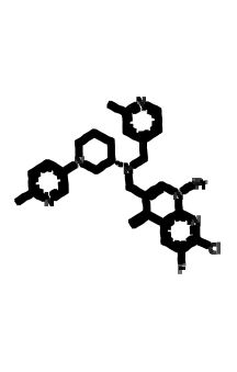 C=C1C(CN(Cc2ccnc(C)c2)[C@H]2CCCN(c3ccc(C)nc3)C2)=CN(C(C)C)c2nc(Cl)c(F)cc21